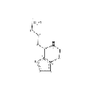 CCOC(=O)CCCC1NCCn2cccc21